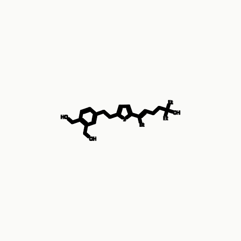 CCC(=CCCC(O)(CC)CC)c1ccc(CCc2ccc(CO)c(CO)c2)s1